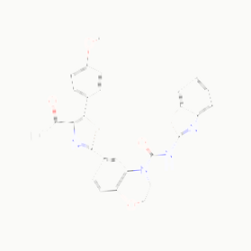 COc1ccc(-c2sc(-c3ccc4c(c3)N(C(=O)Nc3nc5ccccc5s3)CCO4)nc2C(C)=O)cc1